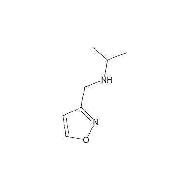 CC(C)NCc1ccon1